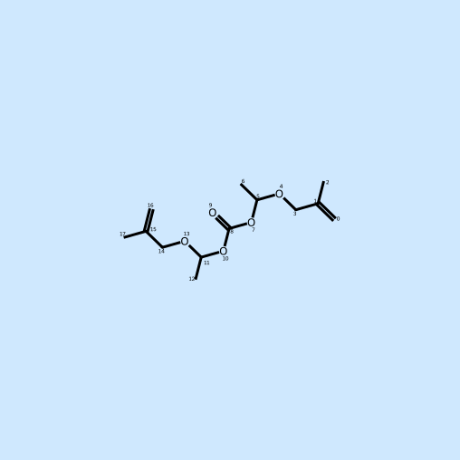 C=C(C)COC(C)OC(=O)OC(C)OCC(=C)C